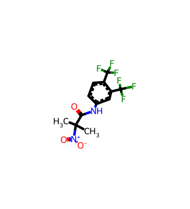 CC(C)(C(=O)Nc1ccc(C(F)(F)F)c(C(F)(F)F)c1)[N+](=O)[O-]